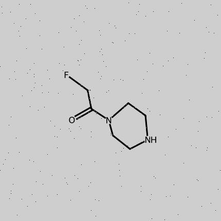 O=C([CH]F)N1CCNCC1